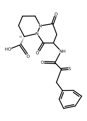 O=C(NC1CC(=O)N2CCC[C@@H](C(=O)O)N2C1=O)C(=S)Cc1ccccc1